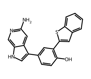 Nc1cc2c(-c3ccc(O)c(-c4cc5ccccc5s4)c3)c[nH]c2cn1